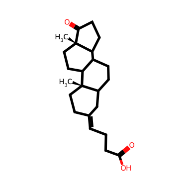 C[C@]12CC/C(=C/CCC(=O)O)CC1CCC1C2CC[C@]2(C)C(=O)CCC12